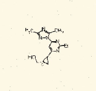 CCc1nc(C2C[C@@H]2CO)cc(-n2nc(C)nc2C)n1